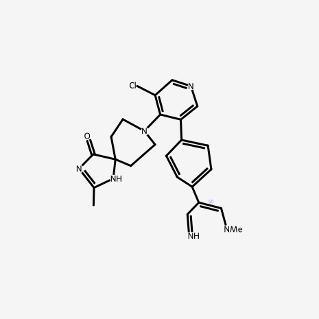 CN/C=C(\C=N)c1ccc(-c2cncc(Cl)c2N2CCC3(CC2)NC(C)=NC3=O)cc1